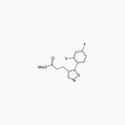 COC(=O)CCc1cnoc1-c1ccc(F)cc1F